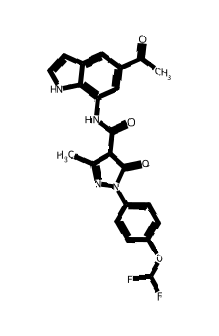 CC(=O)c1cc(NC(=O)C2C(=O)N(c3ccc(OC(F)F)cc3)N=C2C)c2[nH]ccc2c1